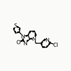 O=c1nc2n(Cc3ccc(Cl)nc3)cccc-2n1-c1ccsc1